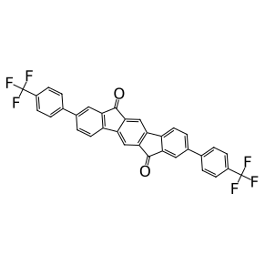 O=c1c2cc(-c3ccc(C(F)(F)F)cc3)ccc2c2cc3c(=O)c4cc(-c5ccc(C(F)(F)F)cc5)ccc4c3cc12